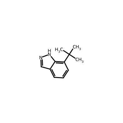 CC(C)(C)c1cccc2cn[nH]c12